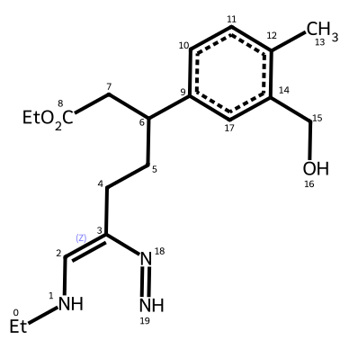 CCN/C=C(/CCC(CC(=O)OCC)c1ccc(C)c(CO)c1)N=N